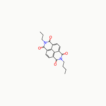 CCCCN1C(=O)c2ccc3c4c(ccc(c24)C1=O)C(=O)N(CCC)C3=O